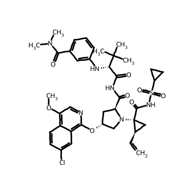 C=C[C@@H]1C[C@@]1(C(=O)NS(=O)(=O)C1CC1)N1C[C@H](Oc2ncc(OC)c3ccc(Cl)cc23)C[C@H]1C(=O)NC(=O)[C@H](Nc1cccc(C(=O)N(C)C)c1)C(C)(C)C